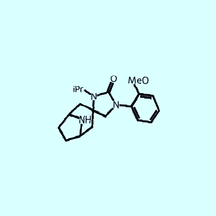 COc1ccccc1N1CC2(CC3CCC(C2)N3)N(C(C)C)C1=O